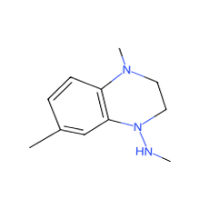 CNN1CCN(C)c2ccc(C)cc21